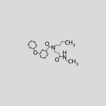 CCCCN(CCC(=O)NCC)C(=O)c1cccc(Oc2ccccc2)c1